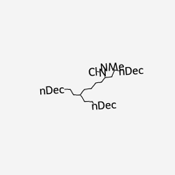 CCCCCCCCCCCCC(CCCCCCCCCCCC)CCCCC(CCCCCCCCCCCC)N(Cl)NC